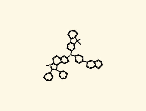 Cn1c(-c2ccccc2)c(-c2ccccc2)c2c3ccc(N(c4ccc(-c5ccc6ccccc6c5)cc4)c4ccc5c(c4)C(C)(C)c4ccccc4-5)cc3ccc21